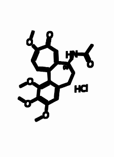 COc1cc2c(c(OC)c1OC)-c1ccc(OC)c(=O)cc1[C@@H](NC(C)=O)CC2.Cl